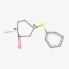 C[C@@H]1CC[C@@H](Sc2ccccc2)CC1=O